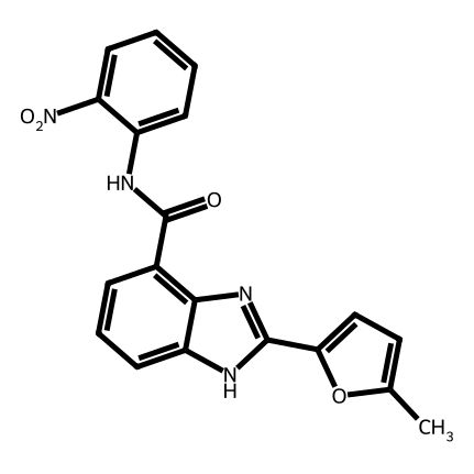 Cc1ccc(-c2nc3c(C(=O)Nc4ccccc4[N+](=O)[O-])cccc3[nH]2)o1